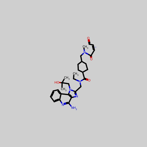 CCN(Cc1nc2c(N)nc3ccccc3c2n1CC(C)(C)O)C(=O)C1CCC(CN(C)C(=O)/C=C\C=O)CC1